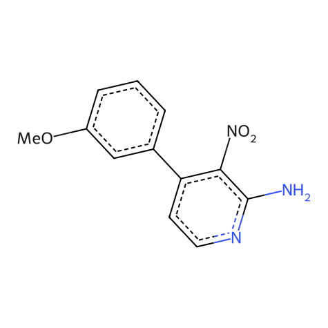 COc1cccc(-c2ccnc(N)c2[N+](=O)[O-])c1